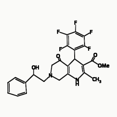 COC(=O)C1=C(C)NC2=C(C(=O)CN(CC(O)c3ccccc3)C2)C1c1c(F)c(F)c(F)c(F)c1F